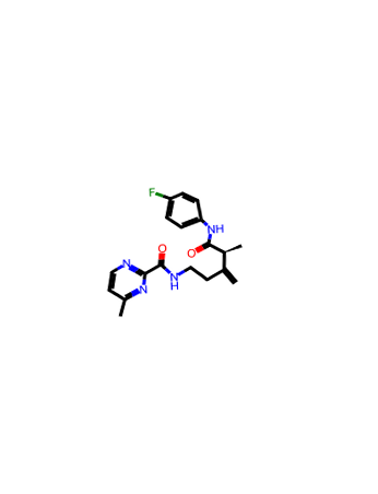 C=C(CCNC(=O)c1nccc(C)n1)[C@H](C)C(=O)Nc1ccc(F)cc1